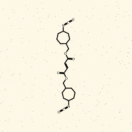 O=C=NC1CCCC(COC(=O)C=CC(=O)OCC2CCCC(N=C=O)CC2)CC1